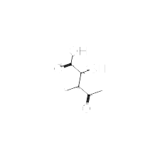 CC(=O)C(C)C(S)C(=O)O